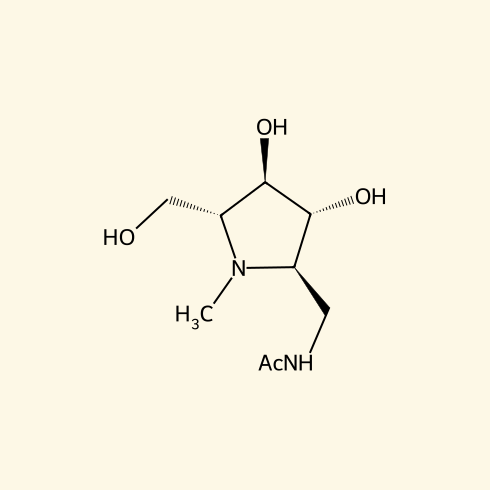 CC(=O)NC[C@@H]1[C@@H](O)[C@H](O)[C@@H](CO)N1C